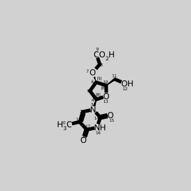 Cc1cn([C@H]2C[C@H](OCC(=O)O)[C@@H](CO)O2)c(=O)[nH]c1=O